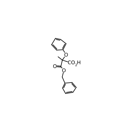 CC(Oc1ccccc1)(C(=O)O)C(=O)OCc1ccccc1